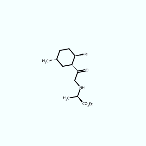 CCOC(=O)[C@@H](C)NCC(=O)[C@@H]1C[C@H](C)CC[C@H]1C(C)C